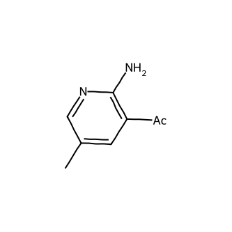 CC(=O)c1cc(C)cnc1N